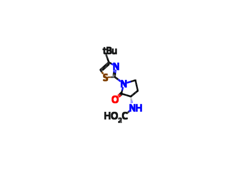 CC(C)(C)c1csc(N2CC[C@H](NC(=O)O)C2=O)n1